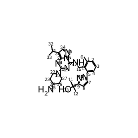 Cc1cccc(-n2ccc(C(C)(C)O)n2)c1CNc1nc(N2CCC(N)CC2)nc2c(C(C)C)cnn12